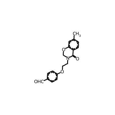 Cc1ccc2c(c1)OCN(CCOc1ccc(C=O)cc1)C2=O